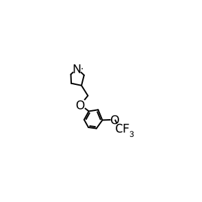 FC(F)(F)Oc1cccc(OCC2CC[N]C2)c1